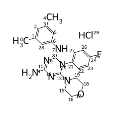 Cc1cc(C)cc(NC2N=C(N)N=C(N3CCOCC3)N2c2ccc(F)cc2)c1.Cl